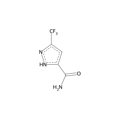 NC(=O)c1cc(C(F)(F)F)n[nH]1